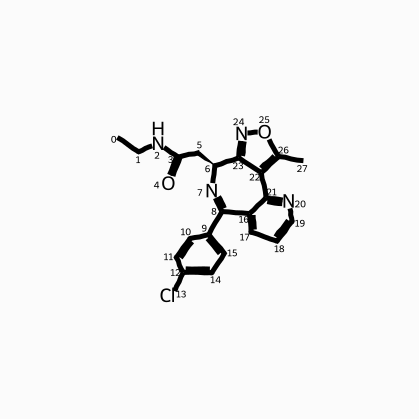 CCNC(=O)C[C@@H]1N=C(c2ccc(Cl)cc2)c2cccnc2-c2c1noc2C